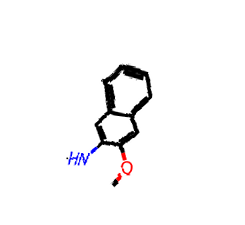 COc1cc2ccccc2cc1[NH]